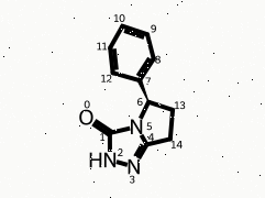 O=c1[nH]nc2n1[C@@H](c1ccccc1)CC2